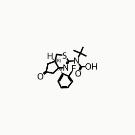 CC(C)(C)N(C(=O)O)C1=N[C@@]2(c3ccccc3F)CC(=O)C[C@H]2CS1